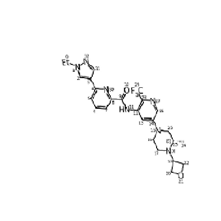 CCn1cc(-c2cccc(C(=O)Nc3cc(N4CCN(C5COC5)[C@@H](C)C4)cnc3C(F)(F)F)n2)cn1